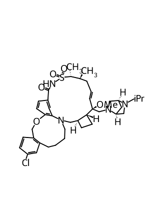 CO[C@]1(CN2C[C@@H]3C[C@H]2CN3C(C)C)/C=C/C[C@H](C)[C@@H](C)S(=O)(=O)NC(=O)c2ccc3c(c2)N(CCCCc2cc(Cl)ccc2CO3)C[C@@H]2CC[C@H]21